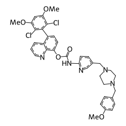 COc1ccc(CN2CCN(Cc3ccc(NC(=O)Oc4ccc(-c5c(Cl)c(OC)cc(OC)c5Cl)c5cccnc45)nc3)CC2)cc1